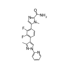 Cc1nn(-c2ccccn2)cc1-c1ccc(-c2cnc(C(N)=O)n2C)c(F)c1F